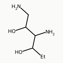 CCC(O)C(N)C(O)CN